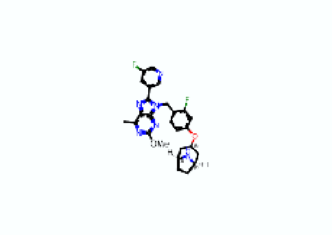 COc1nc(C)c2nc(-c3cncc(F)c3)n(Cc3ccc(O[C@H]4C[C@H]5CC[C@@H](C4)N5)cc3F)c2n1